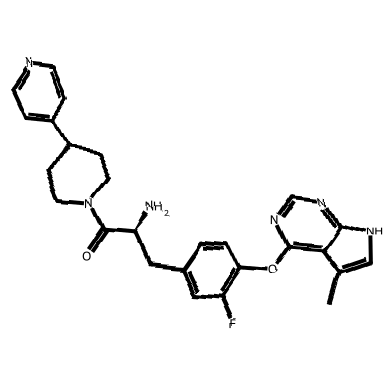 Cc1c[nH]c2ncnc(Oc3ccc(C[C@H](N)C(=O)N4CCC(c5ccncc5)CC4)cc3F)c12